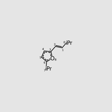 CC(C)/C=C/c1ccc(C(C)C)o1